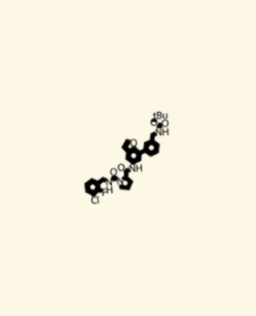 CC(C)(C)OC(=O)NCc1cccc(-c2cc(NC(=O)C3CCCN3C(=O)NCc3cccc(Cl)c3F)cc3ccoc23)c1